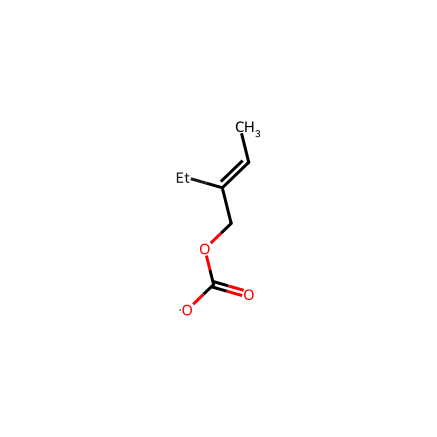 C/C=C(\CC)COC([O])=O